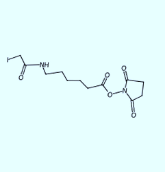 O=C(CI)NCCCCCC(=O)ON1C(=O)CCC1=O